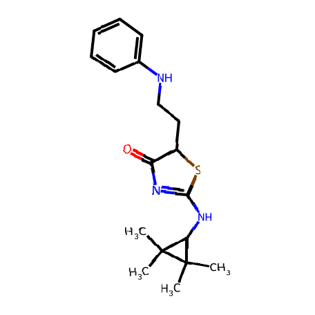 CC1(C)C(NC2=NC(=O)C(CCNc3ccccc3)S2)C1(C)C